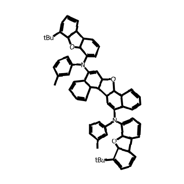 Cc1cccc(N(C2=CC3C(OC4C=C(N(C5=CC=CC6C5OC5C(C(C)(C)C)=CC=CC56)c5cccc(C)c5)C5C=CC=CC5C43)C3C=CC=CC23)C2=CC=CC3C2OC2C(C(C)(C)C)=CC=CC23)c1